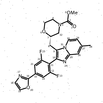 COC(=O)N1CCO[C@@H](Cc2c(-c3c(F)cc(-c4ncco4)cc3F)nc3cc(C)ccn23)C1